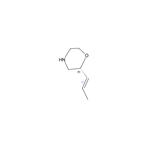 C/C=C/[C@@H]1CNCCO1